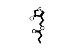 CCCC(=O)OCCC1=CSCC1=O